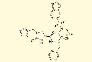 CC[C@H](C)CN(C[C@@H](O)[C@H](Cc1ccccc1)NC(=O)[C@@H]1CN(Cc2cncs2)C(=O)N1)S(=O)(=O)c1ccc2ncsc2c1